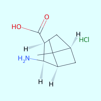 CC1(C)[C@H]2C[C@H](C(=O)O)[C@H](N)[C@@H]1C2.Cl